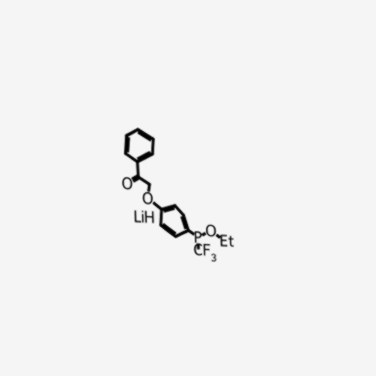 CCOP(c1ccc(OCC(=O)c2ccccc2)cc1)C(F)(F)F.[LiH]